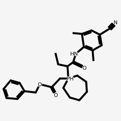 CCC(C(=O)Nc1c(C)cc(C#N)cc1C)[PH]1(CC(=O)OCc2ccccc2)CCCCCC1